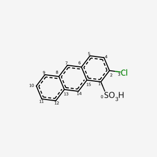 O=S(=O)(O)c1c(Cl)ccc2cc3ccccc3cc12